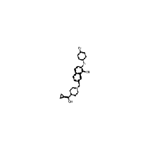 CC[C@H]1CC[C@@H](Oc2ccc3ccc(CN4CCC(C(O)=C5CC5)CC4)cc3c2C#N)CC1